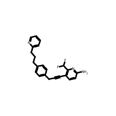 Nc1ccc(C#CCc2ccc(CCCc3ccccn3)cc2)c(C(F)F)n1